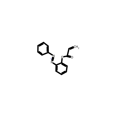 C=CC(=O)Oc1ccccc1/N=N/c1ccccc1